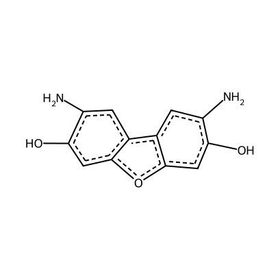 Nc1cc2c(cc1O)oc1cc(O)c(N)cc12